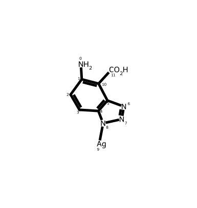 Nc1ccc2c(nn[n]2[Ag])c1C(=O)O